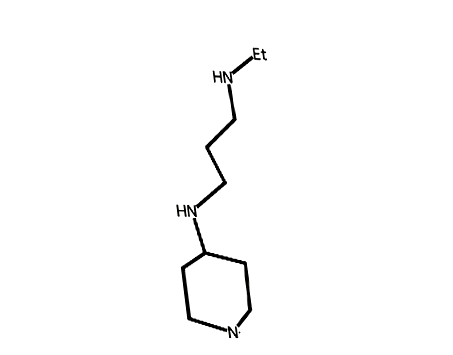 CCNCCCNC1CC[N]CC1